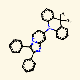 CC1(C)c2ccccc2N(c2ccn3c(-c4ccccc4)c(-c4ccccc4)nc3c2)c2ccccc21